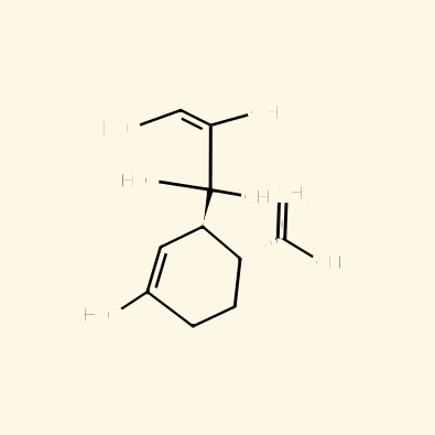 C=C(C)[C@@H]1CCC(C)=C[C@H]1C(C)(C)/C(O)=C\C